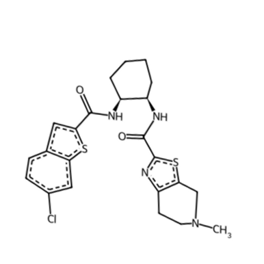 CN1CCc2nc(C(=O)N[C@@H]3CCCC[C@@H]3NC(=O)c3cc4ccc(Cl)cc4s3)sc2C1